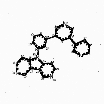 c1cncc(-c2cncc(-c3cccc(-n4c5ccncc5c5cnccc54)c3)c2)c1